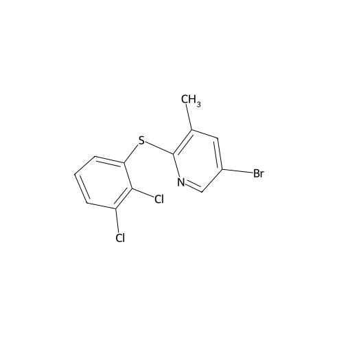 Cc1cc(Br)cnc1Sc1cccc(Cl)c1Cl